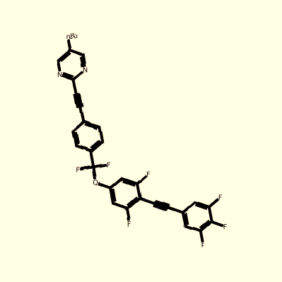 CCCCc1cnc(C#Cc2ccc(C(F)(F)Oc3cc(F)c(C#Cc4cc(F)c(F)c(F)c4)c(F)c3)cc2)nc1